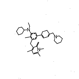 C=C1C(Cc2cc(C3=CC=C(CN4CCCCC4)CC3)cc(N(CC)C3CCCCC3)c2C)=C(C)C=C(C)N1C